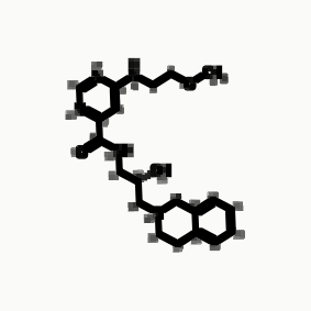 COCCNc1cc(C(=O)NC[C@H](O)CN2CCc3ccccc3C2)ncn1